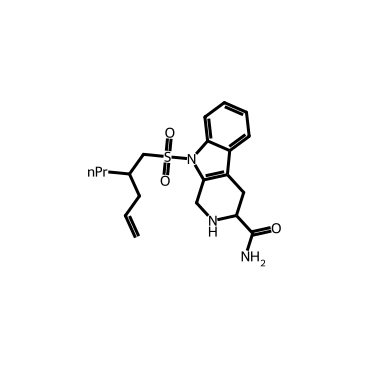 C=CCC(CCC)CS(=O)(=O)n1c2c(c3ccccc31)CC(C(N)=O)NC2